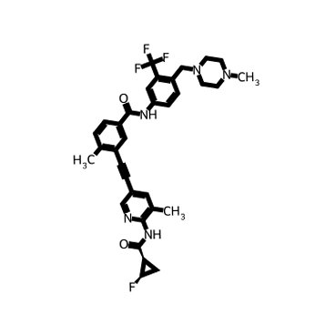 Cc1ccc(C(=O)Nc2ccc(CN3CCN(C)CC3)c(C(F)(F)F)c2)cc1C#Cc1cnc(NC(=O)[C@H]2C[C@H]2F)c(C)c1